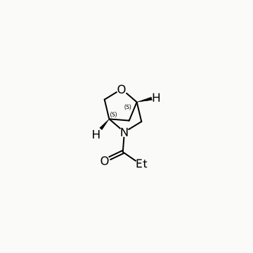 CCC(=O)N1C[C@@H]2C[C@H]1CO2